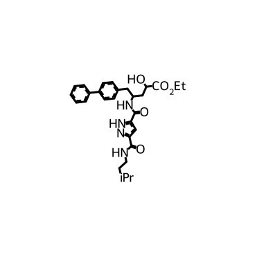 CCOC(=O)C(O)CC(Cc1ccc(-c2ccccc2)cc1)NC(=O)c1cc(C(=O)NCCC(C)C)n[nH]1